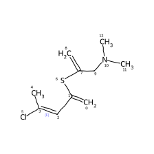 C=C(/C=C(\C)Cl)SC(=C)CN(C)C